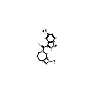 CN1CC2CCCN(C(=O)c3n[nH]c4ccc(N)cc34)CC21